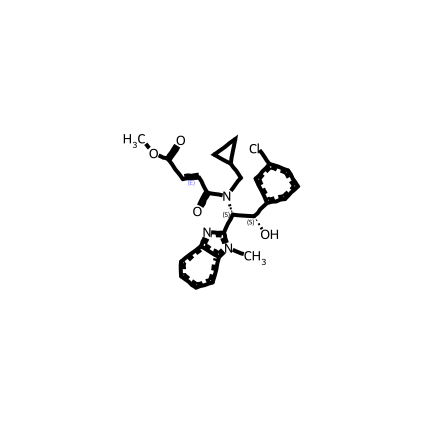 COC(=O)/C=C/C(=O)N(CC1CC1)[C@@H](c1nc2ccccc2n1C)[C@@H](O)c1cccc(Cl)c1